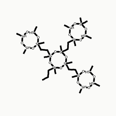 CCC[Si]1(C)O[Si](C)(CC[Si]2(C)O[SiH](C)O[SiH](C)O[SiH](C)O2)O[Si](C)(CC[Si]2(C)O[SiH](C)O[Si](C)(C)O[SiH](C)O2)O[Si](C)(CC[Si]2(C)O[SiH](C)O[SiH](C)O[SiH](C)O2)O1